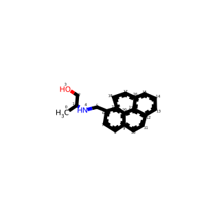 CC(CO)NCc1ccc2ccc3cccc4ccc1c2c34